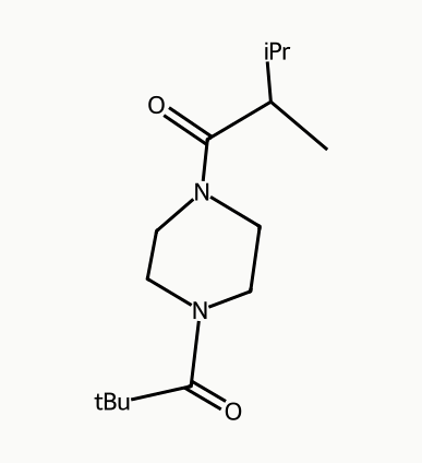 CC(C)C(C)C(=O)N1CCN(C(=O)C(C)(C)C)CC1